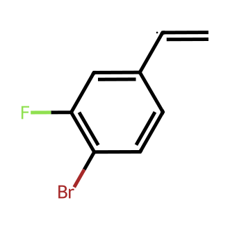 C=[C]c1ccc(Br)c(F)c1